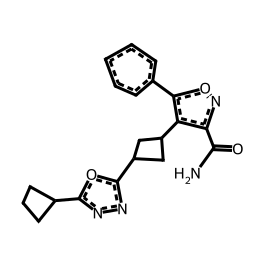 NC(=O)c1noc(-c2ccccc2)c1C1CC(c2nnc(C3CCC3)o2)C1